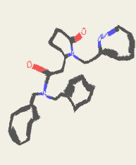 O=C(CC1CCC(=O)N1Cc1ccccn1)N(Cc1ccccc1)Cc1ccccc1